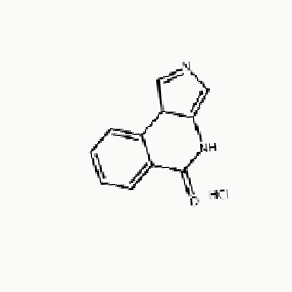 Cl.O=C1NC2=CN=CC2c2ccccc21